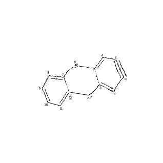 c1cc2c(cc#1)Sc1ccccc1C2